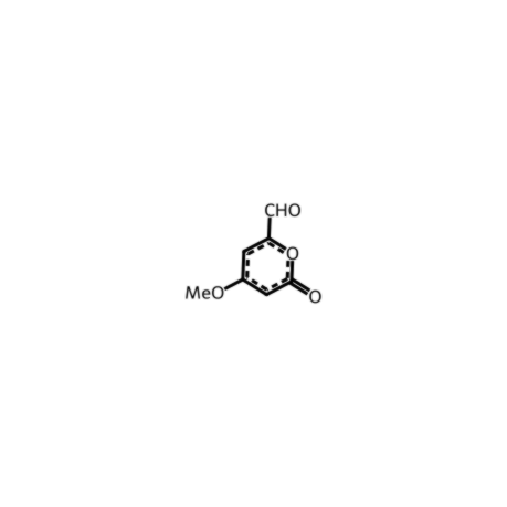 COc1cc(C=O)oc(=O)c1